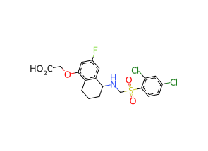 O=C(O)COc1cc(F)cc2c1CCCC2NCS(=O)(=O)c1ccc(Cl)cc1Cl